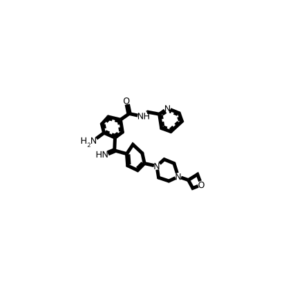 N=C(C1=CC=C(N2CCN(C3COC3)CC2)CC1)c1cc(C(=O)NCc2ccccn2)ccc1N